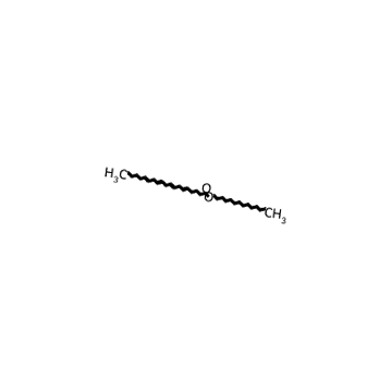 CCCCCC=CCC=CCC=CCC=CCCCC(=O)OCCCCCCCCCCCCCC